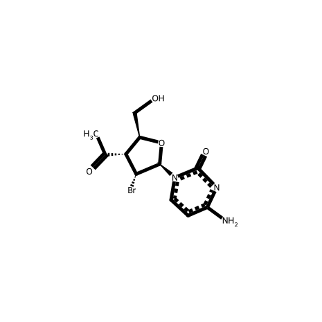 CC(=O)[C@H]1[C@@H](Br)[C@H](n2ccc(N)nc2=O)O[C@@H]1CO